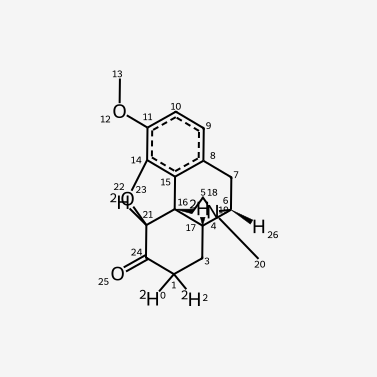 [2H]C1([2H])C[C@@]2([2H])[C@H]3Cc4ccc(OC)c5c4[C@@]2(CCN3C)C([2H])(O5)C1=O